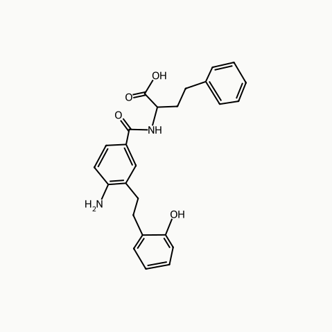 Nc1ccc(C(=O)NC(CCc2ccccc2)C(=O)O)cc1CCc1ccccc1O